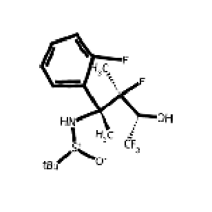 CC(C)(C)[S+]([O-])N[C@](C)(c1ccccc1F)[C@@](C)(F)[C@H](O)C(F)(F)F